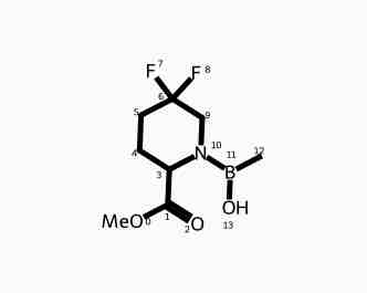 COC(=O)C1CCC(F)(F)CN1B(C)O